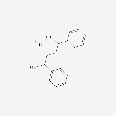 CC(CCC(C)c1ccccc1)c1ccccc1.[Li].[Li]